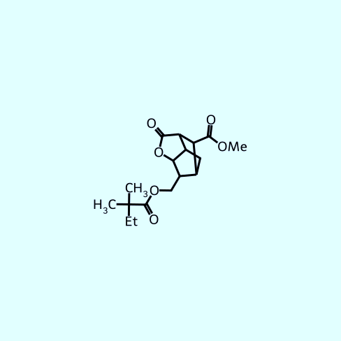 CCC(C)(C)C(=O)OCC1C2CC3C1OC(=O)C3C2C(=O)OC